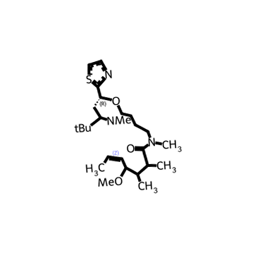 C/C=C\C(OC)C(C)C(C)C(=O)N(C)CCCCO[C@H](CC(NC)C(C)(C)C)c1nccs1